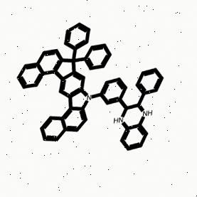 c1ccc(C2Nc3ccccc3NC2c2cccc(-n3c4cc5c(cc4c4c6ccccc6ccc43)-c3c(ccc4ccccc34)C5(c3ccccc3)c3ccccc3)c2)cc1